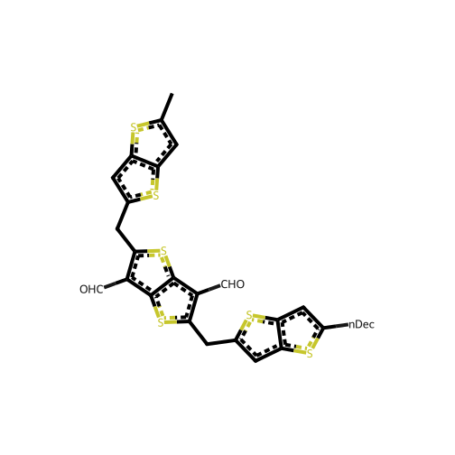 CCCCCCCCCCc1cc2sc(Cc3sc4c(C=O)c(Cc5cc6sc(C)cc6s5)sc4c3C=O)cc2s1